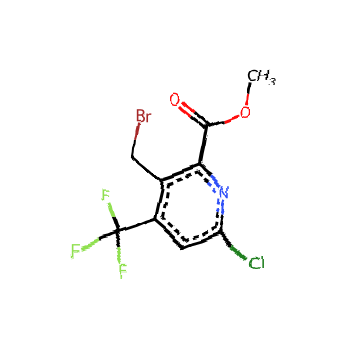 COC(=O)c1nc(Cl)cc(C(F)(F)F)c1CBr